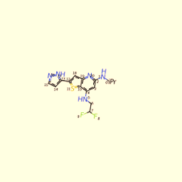 CC(C)Nc1cc(NCC(F)F)c2sc(-c3ccn[nH]3)cc2n1